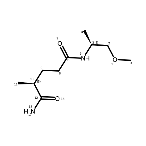 COC[C@H](C)NC(=O)[CH]C[C@H](C)C(N)=O